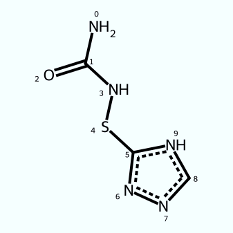 NC(=O)NSc1nnc[nH]1